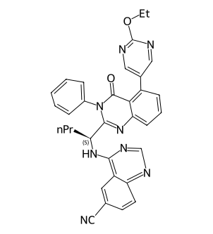 CCC[C@H](Nc1ncnc2ccc(C#N)cc12)c1nc2cccc(-c3cnc(OCC)nc3)c2c(=O)n1-c1ccccc1